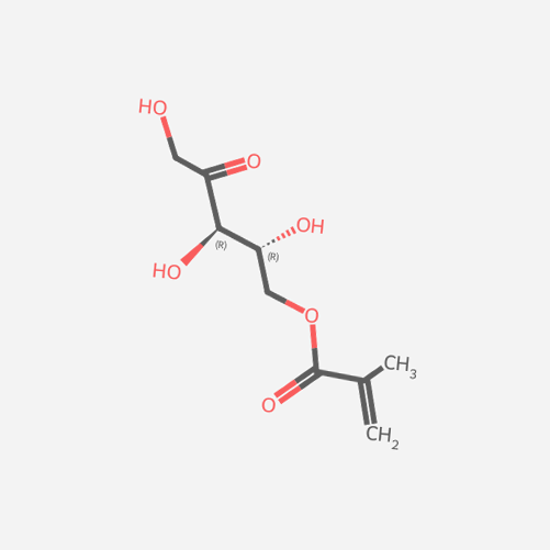 C=C(C)C(=O)OC[C@@H](O)[C@@H](O)C(=O)CO